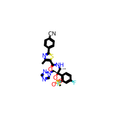 Cc1nc(-c2ccc(C#N)cc2)sc1C(=O)N[C@H](C)[C@@](Cn1cncn1)(OS(C)(=O)=O)c1ccc(F)cc1F